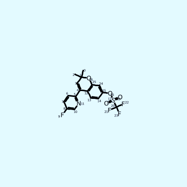 CC1(C)C=C(c2ccc(F)cn2)c2ccc(OS(=O)(=O)C(F)(F)F)cc2O1